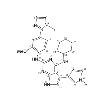 COc1cc(-c2nncn2C)ccc1Nc1nc(NC2CCCCC2)c2c(-c3cnn(C)c3)n[nH]c2n1